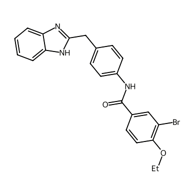 CCOc1ccc(C(=O)Nc2ccc(Cc3nc4ccccc4[nH]3)cc2)cc1Br